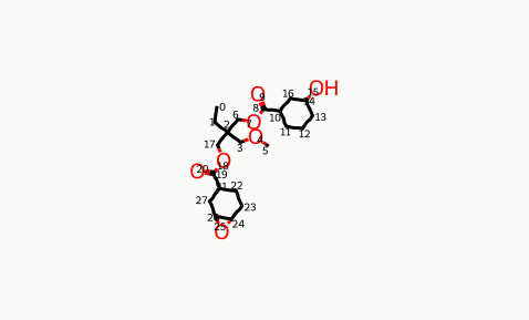 CCC(COC)(COC(=O)C1CCCC(O)C1)COC(=O)C1CCC2OC2C1